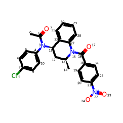 CC(=O)N(c1ccc(Cl)cc1)[C@@H]1C[C@H](C)N(C(=O)c2ccc([N+](=O)[O-])cc2)c2ccccc21